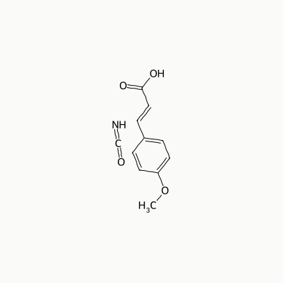 COc1ccc(C=CC(=O)O)cc1.N=C=O